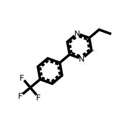 CCc1[c]nc(-c2ccc(C(F)(F)F)cc2)cn1